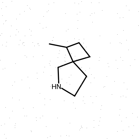 CC1CCC12CCNC2